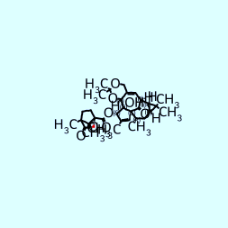 CC1=C[C@]23C(=O)[C@@H](C=C4COC(C)(C)O[C@H]4[C@]2(O)[C@H]1OC(=O)C12CCC(C)(C(=O)O1)C2(C)C)[C@H]1[C@@H](C[C@H]3C)C1(C)C